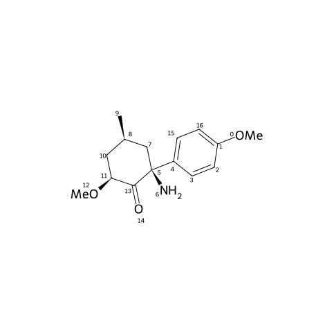 COc1ccc([C@@]2(N)C[C@H](C)C[C@H](OC)C2=O)cc1